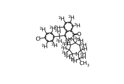 [2H]c1c([2H])c(C([2H])([2H])c2nn(C3([2H])C([2H])([2H])C([2H])([2H])N(C([2H])([2H])C)C([2H])([2H])C([2H])([2H])C3([2H])[2H])c(=O)c3c([2H])c([2H])c([2H])c([2H])c23)c([2H])c([2H])c1Cl